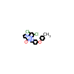 Cc1ccc(Oc2ccc(CNC(=O)c3cccn3-c3ncc(Cl)cc3Cl)cc2)cc1